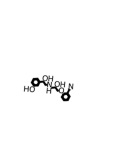 N#Cc1ccccc1OCC(O)CNCC(O)c1cccc(O)c1